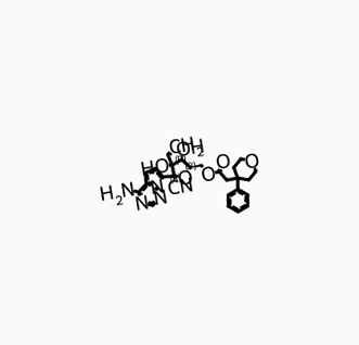 C=CC1(O)[C@H](O)[C@@H](COC(=O)CC2(c3ccccc3)CCOCC2)O[C@@]1(C#N)c1ccc2c(N)ncnn12